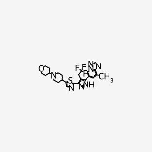 Cc1cc(-c2[nH]nc(-c3ncc(C4CCN(C5CCOCC5)CC4)s3)c2CC(F)(F)F)cn2ncnc12